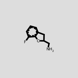 NCC1Cc2cccc(F)c2O1